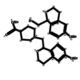 COC(=O)C1CCN(CC2OCCc3cc(OC)ccc32)CC1.COc1ccc2c(c1)CCOC2CBr